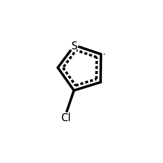 Clc1c[c]sc1